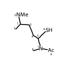 CNC(C)CCC(S)N(C)C(C)=O